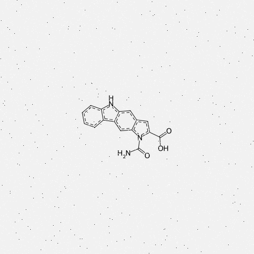 NC(=O)n1c(C(=O)O)cc2cc3[nH]c4ccccc4c3cc21